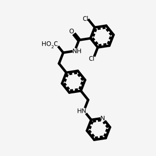 O=C(NC(Cc1ccc(CNc2ccccn2)cc1)C(=O)O)c1c(Cl)cccc1Cl